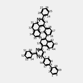 c1ccc(-c2ccc(-c3cc(-c4ccc(-c5cccc(-c6cc(-c7ccccc7)nc7ccc8ccccc8c67)c5)c5ccccc45)nc(-c4ccccc4)n3)cc2)cc1